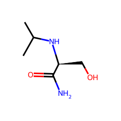 CC(C)N[C@@H](CO)C(N)=O